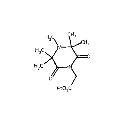 CCOC(=O)CN1C(=O)C(C)(C)N(C)C(C)(C)C1=O